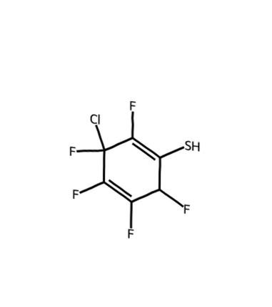 FC1=C(F)C(F)(Cl)C(F)=C(S)C1F